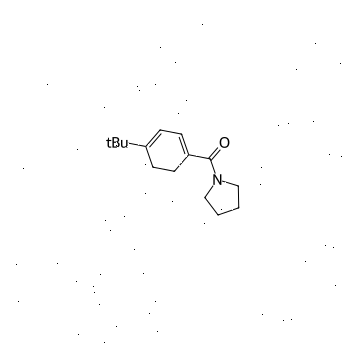 CC(C)(C)C1=CC=C(C(=O)N2CCCC2)CC1